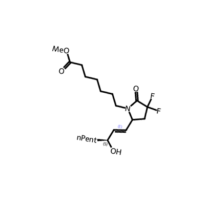 CCCCC[C@H](O)/C=C/C1CC(F)(F)C(=O)N1CCCCCCC(=O)OC